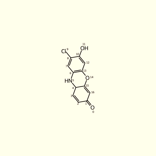 O=C1C=CC2Nc3cc(Cl)c(O)cc3OC2=C1